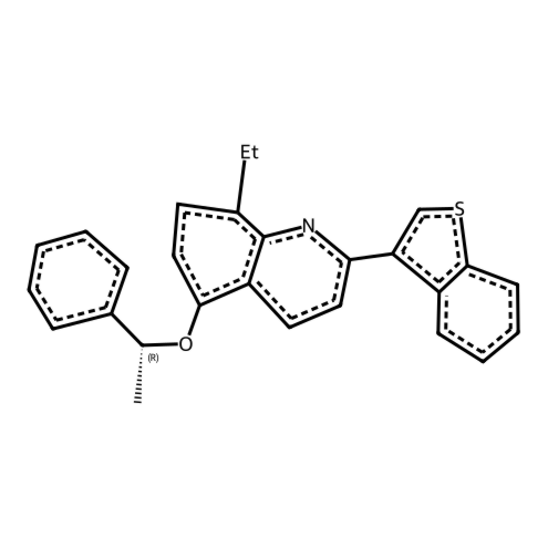 CCc1ccc(O[C@H](C)c2ccccc2)c2ccc(-c3csc4ccccc34)nc12